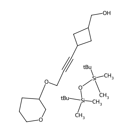 CC(C)(C)[Si](C)(C)O[Si](C)(C)C(C)(C)C.OCC1CC(C#CCOC2CCCOC2)C1